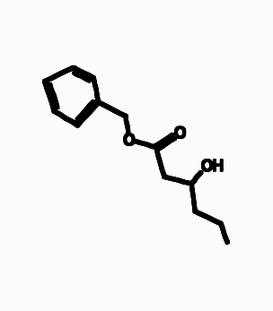 CCCC(O)CC(=O)OCc1ccccc1